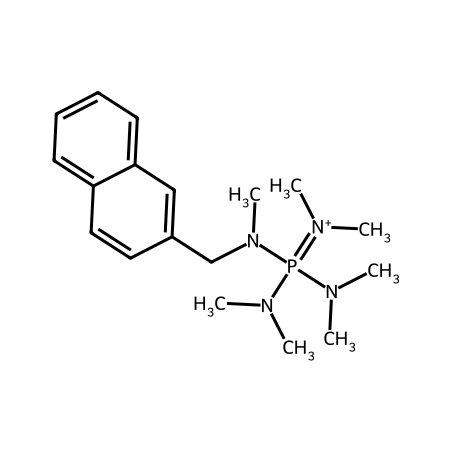 CN(C)P(N(C)C)(N(C)Cc1ccc2ccccc2c1)=[N+](C)C